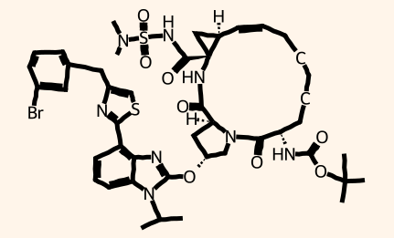 CC(C)n1c(O[C@@H]2C[C@H]3C(=O)N[C@]4(C(=O)NS(=O)(=O)N(C)C)C[C@H]4/C=C\CCCCC[C@H](NC(=O)OC(C)(C)C)C(=O)N3C2)nc2c(-c3nc(Cc4cccc(Br)c4)cs3)cccc21